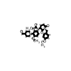 COc1ccc(CN2C(=O)CCC(n3c(=O)n(C)c4c(N5CCC(C=O)CC5)c(OC)ccc43)C2=O)cc1